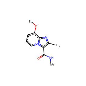 CCCNC(=O)c1c(C)nc2c(OCC)cccn12